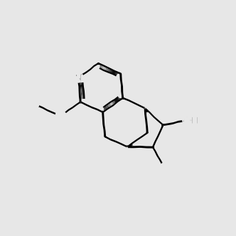 COc1nccc2c1CC1CC2C(O)C1O